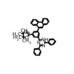 CC1(C)OB(c2cc(C3=NC(c4ccccc4)=NC(c4ccccc4)N3)cc(-c3cc4ccccc4c4ccccc34)c2)OC1(C)C